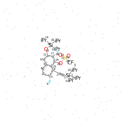 CC(C)[Si](C#Cc1c(F)ccc2cc(O[Si](C(C)C)(C(C)C)C(C)C)c(F)c(OS(=O)(=O)C(F)(F)F)c12)(C(C)C)C(C)C